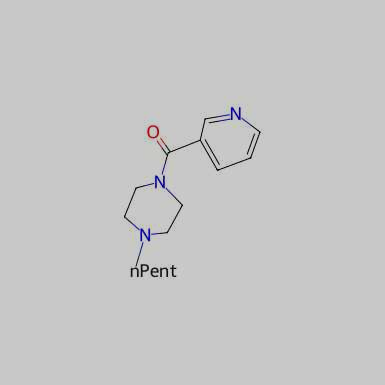 CCCCCN1CCN(C(=O)c2cccnc2)CC1